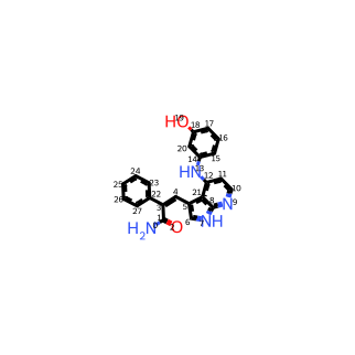 NC(=O)C(=Cc1c[nH]c2nccc(Nc3cccc(O)c3)c12)c1ccccc1